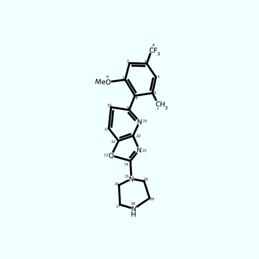 COc1cc(C(F)(F)F)cc(C)c1-c1ccc2oc(N3CCNCC3)nc2n1